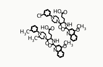 COc1cc(C(=O)NC(CCC(=O)O)C(=O)N2CCN(c3cccc(C)c3)C(C)C2)nc2ccccc12.COc1cc(C(=O)NC(CCC(=O)O)C(=O)N2CCN(c3cccc(Cl)c3)CC2)nc2ccccc12